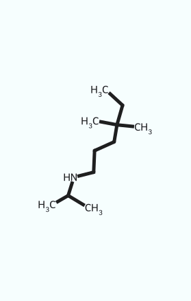 CCC(C)(C)CCCNC(C)C